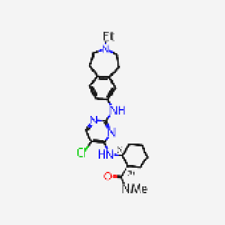 CCN1CCc2ccc(Nc3ncc(Cl)c(N[C@H]4CCCC[C@H]4C(=O)NC)n3)cc2CC1